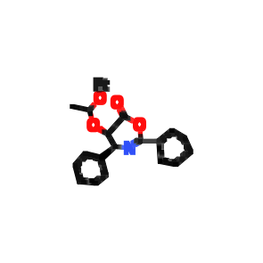 CCOC(C)O[C@H]1C(=O)OC(c2ccccc2)=N[C@H]1c1ccccc1